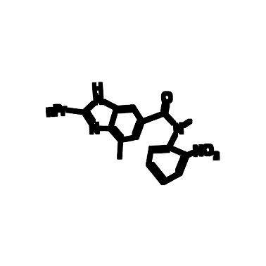 CCCc1nc2c(C)cc(C(=O)N(C)c3ccccc3[N+](=O)[O-])cc2[nH]1